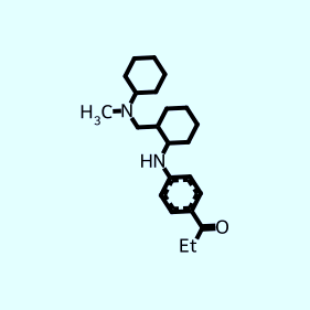 CCC(=O)c1ccc(NC2CCCCC2CN(C)C2CCCCC2)cc1